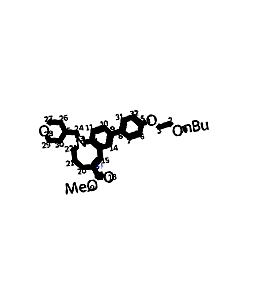 CCCCOCCOc1ccc(-c2ccc3c(c2)/C=C(/C(=O)OC)CCCN3CC2CCOCC2)cc1